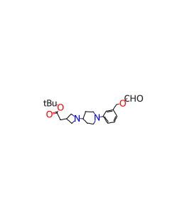 CC(C)(C)OC(=O)CC1CN(C2CCN(c3cccc(COC=O)c3)CC2)C1